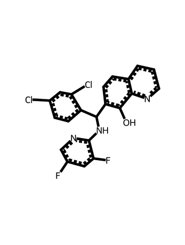 Oc1c(C(Nc2ncc(F)cc2F)c2ccc(Cl)cc2Cl)ccc2cccnc12